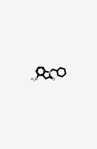 Nc1cccc2c1CC(=O)N2CC1CCCCC1